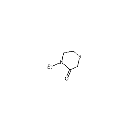 CCN1CCSCC1=O